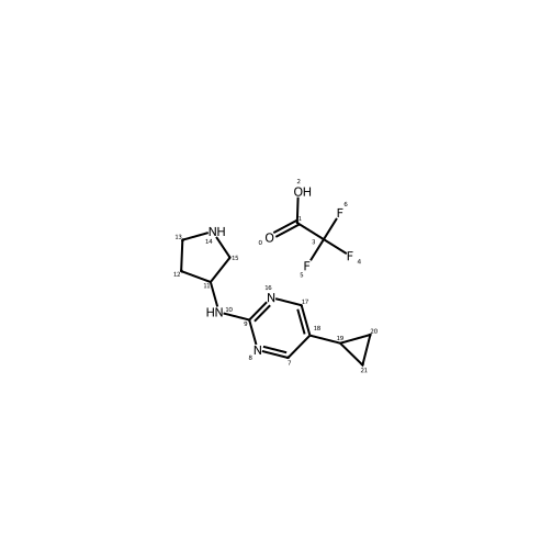 O=C(O)C(F)(F)F.c1nc(NC2CCNC2)ncc1C1CC1